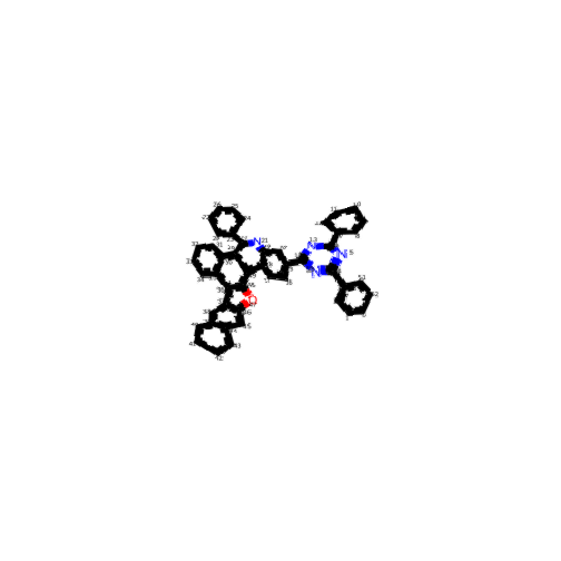 c1ccc(-c2nc(-c3ccccc3)nc(-c3ccc4c(c3)nc(-c3ccccc3)c3c5ccccc5c5c6cc7ccccc7cc6oc5c43)n2)cc1